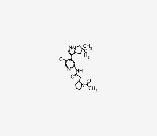 CC(=O)N1CCC[C@H]1CC(=O)Nc1cc(-c2cnn3c2CC(C)(C)C3)c(Cl)cn1